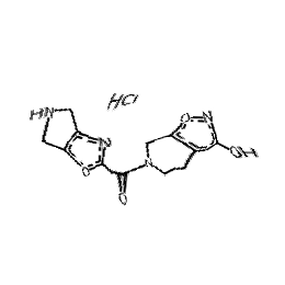 Cl.O=C(c1nc2c(o1)CNC2)N1CCc2c(O)noc2C1